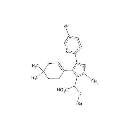 CCCc1ccc(-c2sc(C)c(C(OC(C)(C)C)C(=O)O)c2C2=CCC(C)(C)CC2)nc1